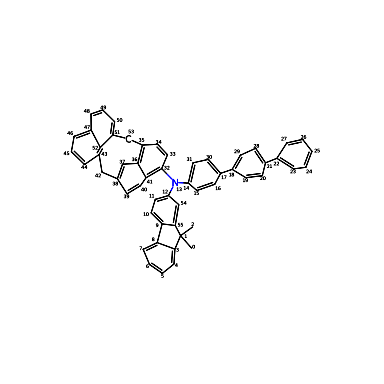 CC1(C)c2ccccc2-c2ccc(N(c3ccc(-c4ccc(-c5ccccc5)cc4)cc3)c3ccc4c5cc(ccc35)Cc3cccc5cccc(c35)C4)cc21